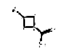 CC(=S)N1CC(C(C)C)C1